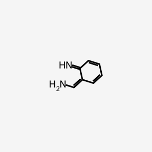 N=C1C=CC=C/C1=C/N